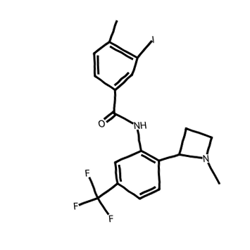 Cc1ccc(C(=O)Nc2cc(C(F)(F)F)ccc2C2CCN2C)cc1I